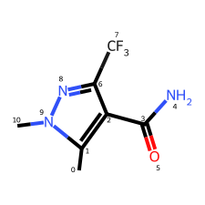 Cc1c(C(N)=O)c(C(F)(F)F)nn1C